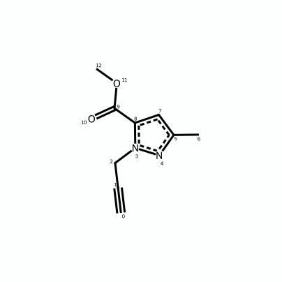 C#CCn1nc(C)cc1C(=O)OC